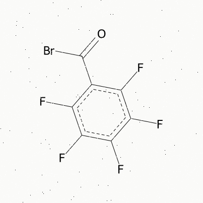 O=C(Br)c1c(F)c(F)c(F)c(F)c1F